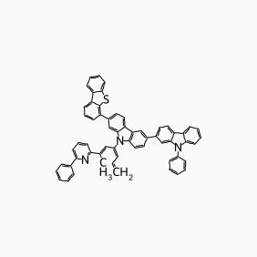 C=C/C=C(\C=C(/C)c1cccc(-c2ccccc2)n1)n1c2ccc(-c3ccc4c5ccccc5n(-c5ccccc5)c4c3)cc2c2ccc(-c3cccc4c3sc3ccccc34)cc21